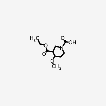 CCOC(=O)C1CN(C(=O)O)CCC1OC